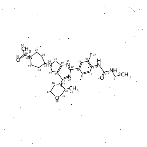 CCNC(=O)Nc1ccc(-c2nc3c(c(N4CCOCC4C)n2)CN(C2CCN(C(C)=O)CC2)C3)cc1F